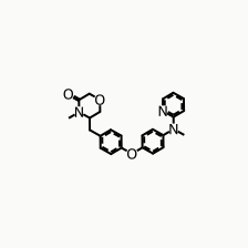 CN(c1ccc(Oc2ccc(CC3COCC(=O)N3C)cc2)cc1)c1ccccn1